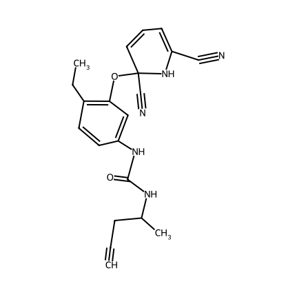 C#CCC(C)NC(=O)Nc1ccc(CC)c(OC2(C#N)C=CC=C(C#N)N2)c1